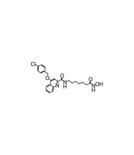 O=C(CCCCCCNC(=O)c1cc(OCc2ccc(Cl)cc2)c2ccccc2n1)NO